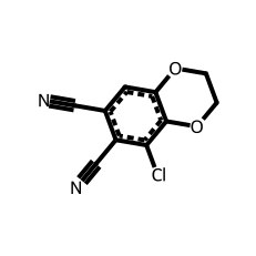 N#Cc1cc2c(c(Cl)c1C#N)OCCO2